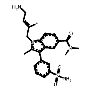 Cc1c(-c2cccc(S(N)(=O)=O)c2)c2cc(C(=O)N(C)C)ccc2n1C/C(F)=C/CN